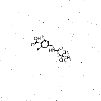 CC(C)(C)OC(=O)NCc1cc(F)c(C(=O)O)c(F)c1